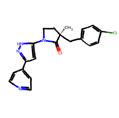 C[C@@]1(Cc2ccc(Cl)cc2)CCN(c2cc(-c3ccncc3)n[nH]2)C1=O